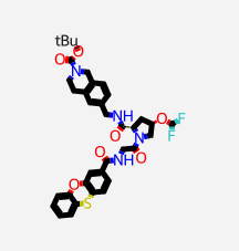 CC(C)(C)OC(=O)N1CCc2cc(CNC(=O)[C@@H]3C[C@@H](OC(F)F)CN3C(=O)CNC(=O)c3ccc4c(c3)Oc3ccccc3S4)ccc2C1